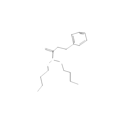 CCCCOP(OCCCC)C(=O)CCc1ccccc1